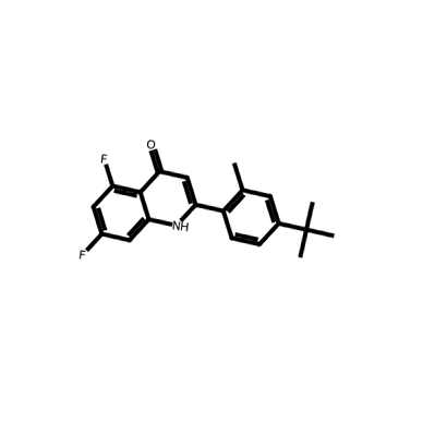 Cc1cc(C(C)(C)C)ccc1-c1cc(=O)c2c(F)cc(F)cc2[nH]1